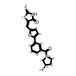 O=C1NC(=S)SC1=Cc1ccc(-c2cccc(C(=O)N3CC[C@@H](F)C3)c2)o1